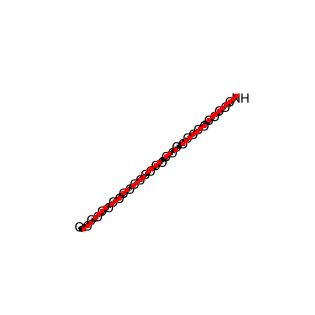 CNCCOCCOCCOCCOCCOCCOCCOCCOCCOCCOCCOCCOCCOCCOCCOCCOCCOCCOCCOCCOCCOCCOCCOCCOCCOCCOCCOCCOCCC(C)=O